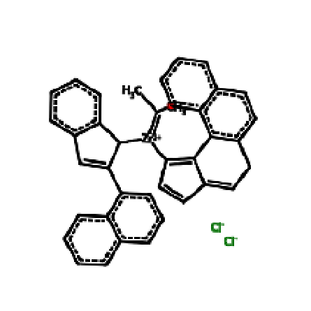 C[C](C)=[Zr+2]([C]1=C2C(=CCc3ccc4ccccc4c32)C=C1)[CH]1C(c2cccc3ccccc23)=Cc2ccccc21.[Cl-].[Cl-]